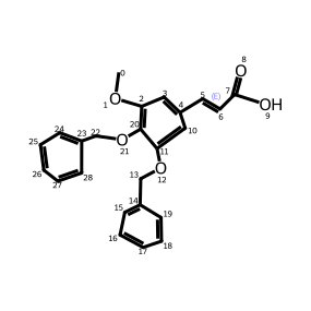 COc1cc(/C=C/C(=O)O)cc(OCc2ccccc2)c1OCc1ccccc1